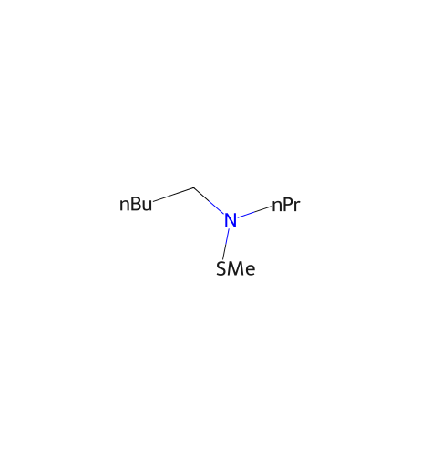 CCCCCN(CCC)SC